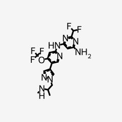 CNC(C)Cn1cc(-c2cnc(Nc3cc(N)nc(C(F)F)n3)cc2OC(F)(F)F)cn1